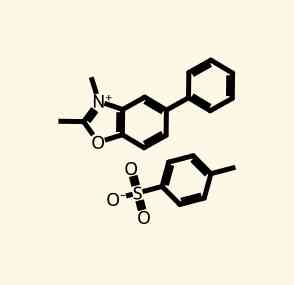 Cc1ccc(S(=O)(=O)[O-])cc1.Cc1oc2ccc(-c3ccccc3)cc2[n+]1C